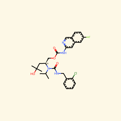 CC(C)N(C(=O)NCc1ccccc1Cl)[C@H](COC(=O)Nc1cc2cc(F)ccc2cn1)CC(C)(C)O